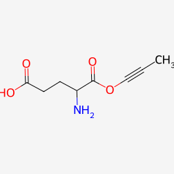 CC#COC(=O)C(N)CCC(=O)O